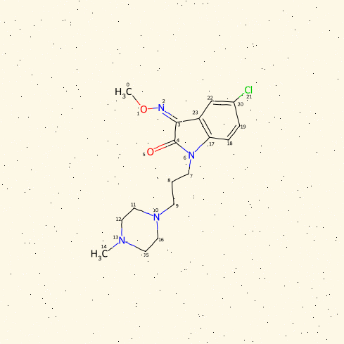 CO/N=C1\C(=O)N(CCCN2CCN(C)CC2)c2ccc(Cl)cc21